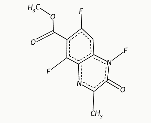 COC(=O)c1c(F)cc2c(nc(C)c(=O)n2F)c1F